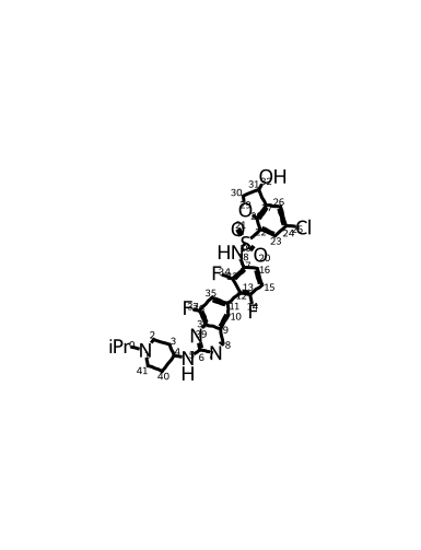 CC(C)N1CCC(Nc2ncc3cc(-c4c(F)ccc(NS(=O)(=O)c5cc(Cl)cc6c5OCC6O)c4F)cc(F)c3n2)CC1